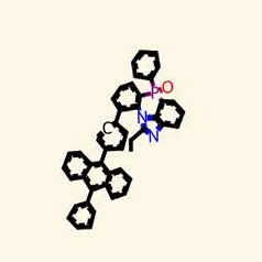 CCc1nc2cccc3c2n1-c1c(-c2ccc(-c4c5ccccc5c(-c5ccccc5)c5ccccc45)cc2)cccc1P3(=O)c1ccccc1